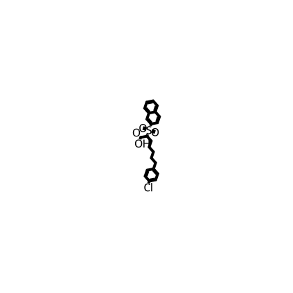 O=C(O)C(CCCCCc1ccc(Cl)cc1)S(=O)(=O)c1ccc2ccccc2c1